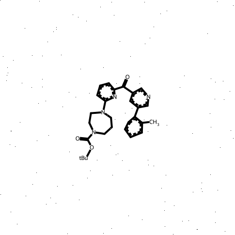 Cc1ccccc1-c1cncc(C(=O)c2cccc(N3CCCN(C(=O)OC(C)(C)C)CC3)n2)c1